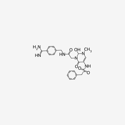 CN1C=C(NS(=O)(=O)Cc2ccccc2)C(=O)N(CC(=O)NCc2ccc(C(=N)N)cc2)C1O